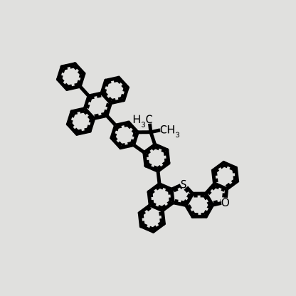 CC1(C)c2ccc(-c3cc4ccccc4c4c3sc3c4ccc4oc5ccccc5c43)cc2-c2ccc(-c3c4ccccc4c(-c4ccccc4)c4ccccc34)cc21